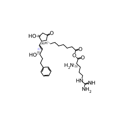 N=C(N)NCCC[C@H](N)C(=O)OC(=O)CCCCCC[C@H]1C(=O)C[C@@H](O)[C@@H]1/C=C/[C@@H](O)CCc1ccccc1